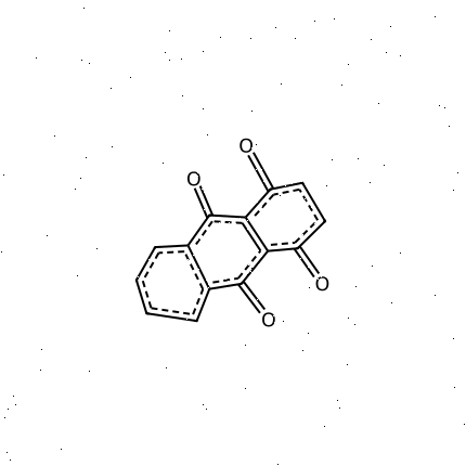 O=c1ccc(=O)c2c(=O)c3ccccc3c(=O)c1=2